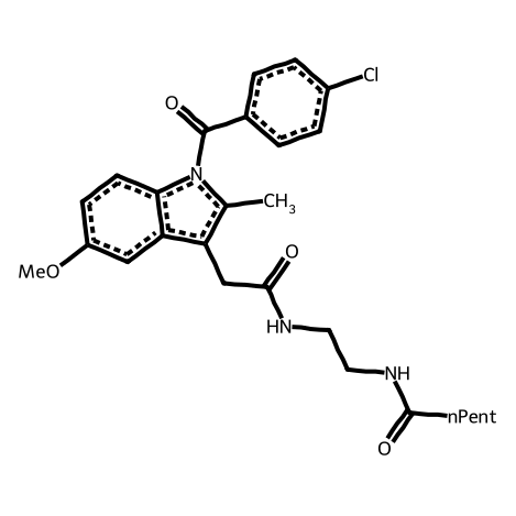 CCCCCC(=O)NCCNC(=O)Cc1c(C)n(C(=O)c2ccc(Cl)cc2)c2ccc(OC)cc12